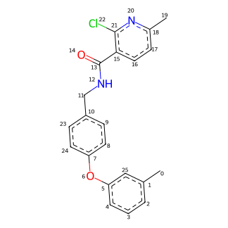 Cc1cccc(Oc2ccc(CNC(=O)c3ccc(C)nc3Cl)cc2)c1